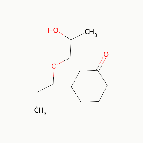 CCCOCC(C)O.O=C1CCCCC1